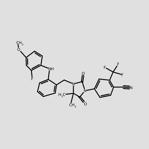 COc1ccc(Nc2ccccc2CN2C(=O)N(c3ccc(C#N)c(C(F)(F)F)c3)C(=O)C2(C)C)c(F)c1